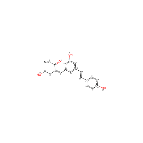 COC(=O)C(=Cc1cc(O)cc(C=Cc2ccc(O)cc2)c1)CCO